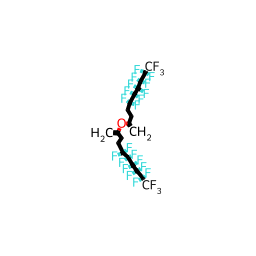 C=C(CCC(F)(F)C(F)(F)C(F)(F)C(F)(F)C(F)(F)C(F)(F)F)OC(=C)CCC(F)(F)C(F)(F)C(F)(F)C(F)(F)C(F)(F)C(F)(F)F